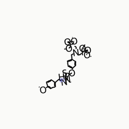 COc1ccc(/C=N/N(C)[PH](=S)Oc2ccc(CN(CP(=O)(OC)OC)CP(=O)(OC)OC)cc2)cc1